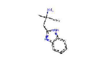 CCCCCCC(C)(N)Cc1nc2ccccc2[nH]1